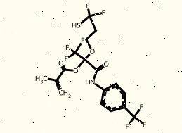 C=C(C)C(=O)OC(OCCC(F)(F)S)(C(=O)Nc1ccc(C(F)(F)F)cc1)C(F)(F)F